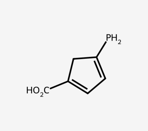 O=C(O)C1=CC=C(P)C1